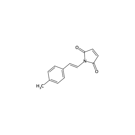 Cc1ccc(C=CN2C(=O)C=CC2=O)cc1